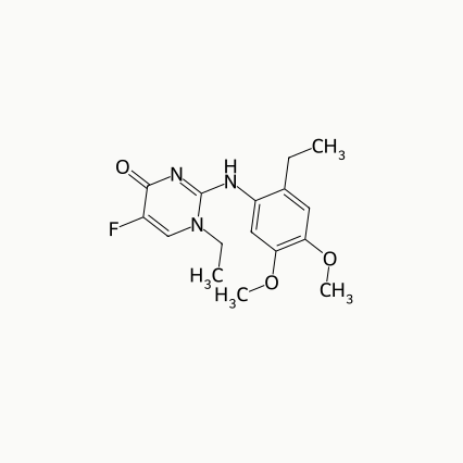 CCc1cc(OC)c(OC)cc1Nc1nc(=O)c(F)cn1CC